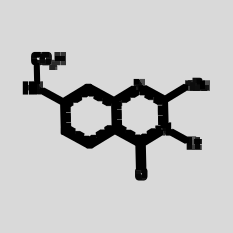 CCCCc1nc2cc(NC(=O)O)ccc2c(=O)n1CC